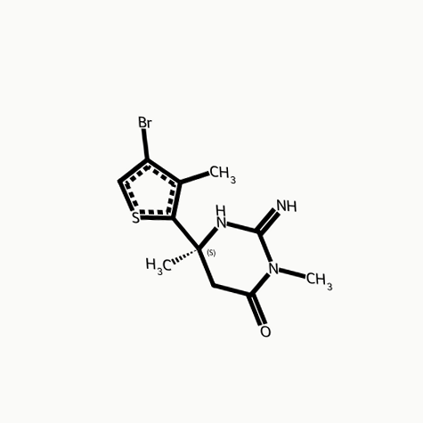 Cc1c(Br)csc1[C@]1(C)CC(=O)N(C)C(=N)N1